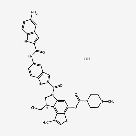 Cc1csc2c(OC(=O)N3CCN(C)CC3)cc3c(c12)[C@@H](CCl)CN3C(=O)c1cc2cc(NC(=O)c3cc4cc(N)ccc4[nH]3)ccc2[nH]1.Cl